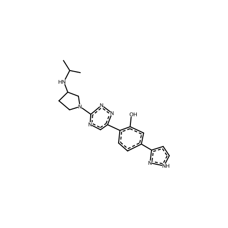 CC(C)NC1CCN(c2ncc(-c3ccc(-c4cc[nH]n4)cc3O)nn2)C1